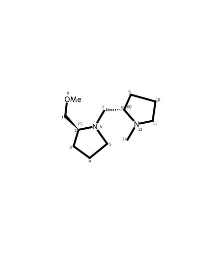 COC[C@@H]1CCCN1C[C@@H]1CCCN1C